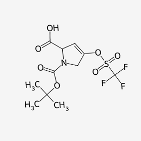 CC(C)(C)OC(=O)N1CC(OS(=O)(=O)C(F)(F)F)=CC1C(=O)O